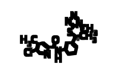 Cc1cc(C(=O)Nc2cccc([C@H](C)Sc3nncn3C)c2)ncc1Cl